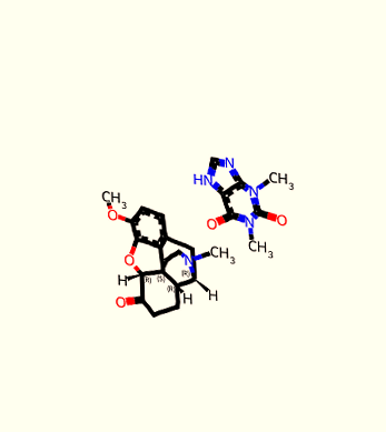 COc1ccc2c3c1O[C@H]1C(=O)CC[C@H]4[C@@H](C2)N(C)CC[C@]314.Cn1c(=O)c2[nH]cnc2n(C)c1=O